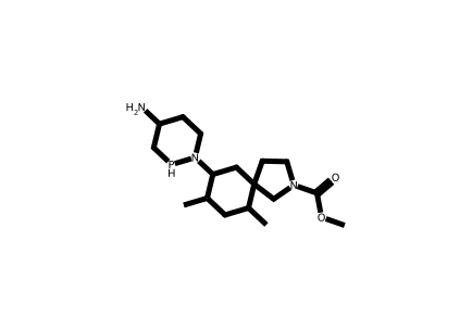 COC(=O)N1CCC2(CC(N3CCC(N)CP3)C(C)CC2C)C1